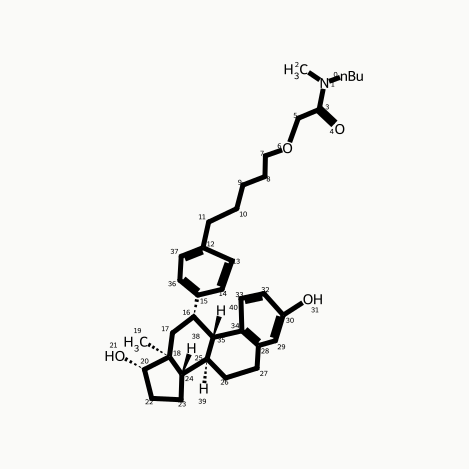 CCCCN(C)C(=O)COCCCCCc1ccc([C@H]2C[C@]3(C)[C@@H](O)CC[C@H]3[C@@H]3CCc4cc(O)ccc4[C@H]32)cc1